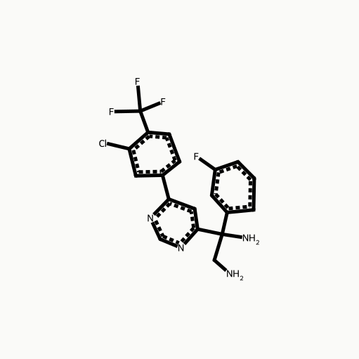 NCC(N)(c1cccc(F)c1)c1cc(-c2ccc(C(F)(F)F)c(Cl)c2)ncn1